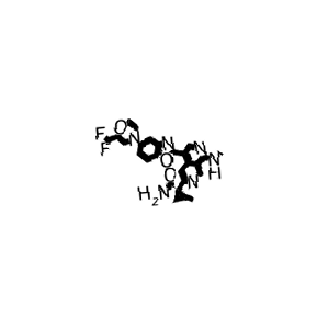 CNc1ncc(-c2nc3cc(N4CCOC(C(F)F)C4)ccc3o2)c2cc([C@]3(C(N)=O)CC3C)ncc12